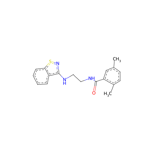 Cc1ccc(C)c(C(=O)NCCNc2nsc3ccccc23)c1